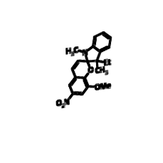 CCC1(C)c2ccccc2N(C)C12C=Cc1cc([N+](=O)[O-])cc(OC)c1O2